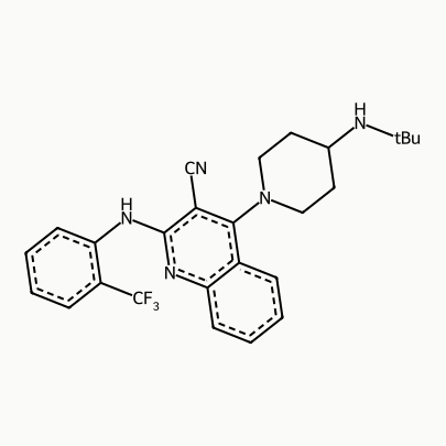 CC(C)(C)NC1CCN(c2c(C#N)c(Nc3ccccc3C(F)(F)F)nc3ccccc23)CC1